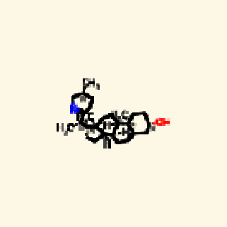 C[C@H]1CCC([C@@H](C)[C@H]2CC[C@H]3[C@@H]4CC=C5C[C@@H](O)CC[C@]5(C)[C@H]4CC[C@]23C)=NC1